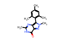 Cc1cc(C)c(-c2c3nc(C)[nH]c(=O)c3nn2C)c(C)c1